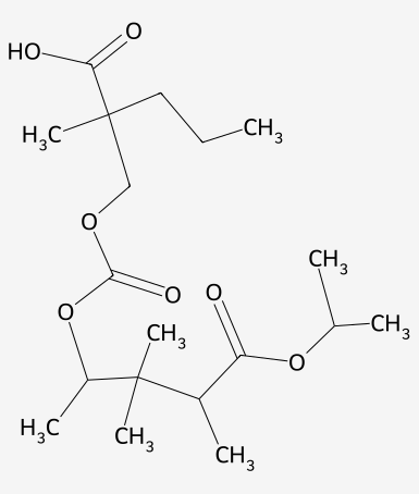 CCCC(C)(COC(=O)OC(C)C(C)(C)C(C)C(=O)OC(C)C)C(=O)O